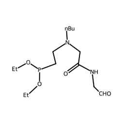 CCCCN(CCP(OCC)OCC)CC(=O)NCC=O